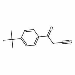 CC(C)(C)c1ccc(C(=O)CC#N)cc1